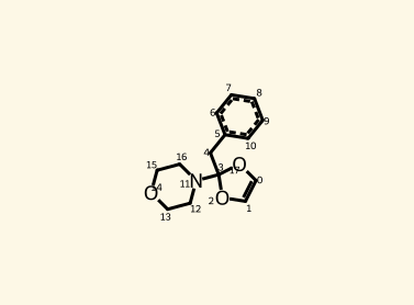 C1=COC(Cc2ccccc2)(N2CCOCC2)O1